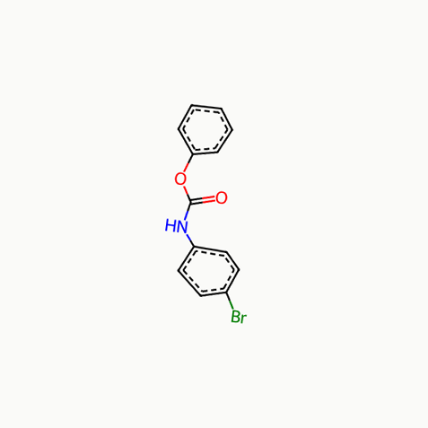 O=C(Nc1ccc(Br)cc1)Oc1ccccc1